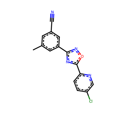 Cc1cc(C#N)cc(-c2noc(-c3ccc(Cl)cn3)n2)c1